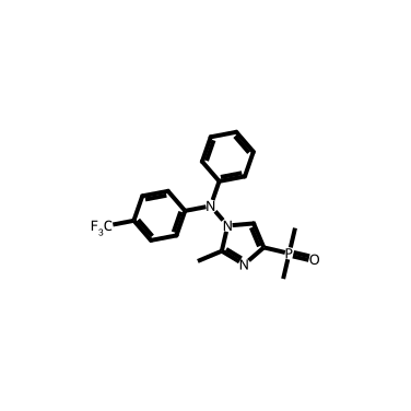 Cc1nc(P(C)(C)=O)cn1N(c1ccccc1)c1ccc(C(F)(F)F)cc1